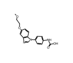 COCCOc1ccc2c(c1)ncn2-c1ccc(NC(=O)O)cc1